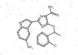 CC(Oc1nc(-c2cnc3ccc(N)cn23)sc1C(N)=O)c1ccccc1Cl